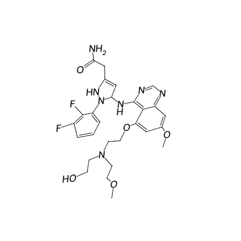 COCCN(CCO)CCOc1cc(OC)cc2ncnc(NC3C=C(CC(N)=O)NN3c3cccc(F)c3F)c12